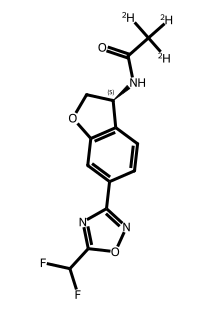 [2H]C([2H])([2H])C(=O)N[C@@H]1COc2cc(-c3noc(C(F)F)n3)ccc21